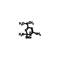 CSC1(N)N=C(N(C)C)N=C(N)N1